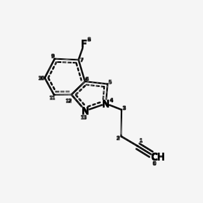 C#CCCn1cc2c(F)cccc2n1